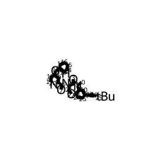 CN1C(=O)C(NC(=O)c2cc(Oc3ccccc3)ccn2)COc2ccc(C#CC(C)(C)C)cc21